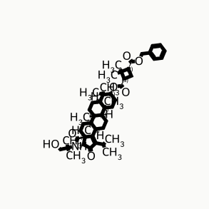 CC(C)C1=C2[C@H]3CC[C@@H]4[C@@]5(C)CC[C@H](OC(=O)[C@H]6C[C@@H](C(=O)OCc7ccccc7)C6(C)C)C(C)(C)[C@@H]5CC[C@@]4(C)[C@]3(C)CC[C@@]2(C(=O)NC(C)(C)CO)CC1=O